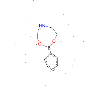 c1ccc(B2OCCNCCO2)cc1